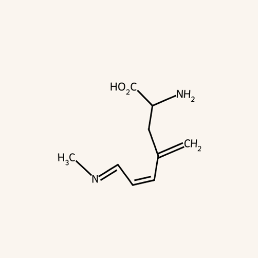 C=C(/C=C\C=N\C)CC(N)C(=O)O